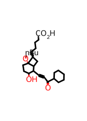 CCCCOC12CCC(O)C(C#CC(=O)C3CCCCC3)C1CC2=CCCCC(=O)O